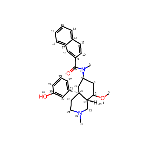 COC1C[C@H](N(C)C(=O)c2ccc3ccccc3c2)C[C@]2(c3cccc(O)c3)CCN(C)C[C@@H]12